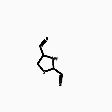 S=CC1CSC(C=S)N1